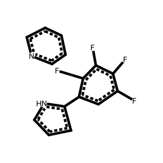 Fc1cc(-c2ccc[nH]2)c(F)c(F)c1F.c1ccncc1